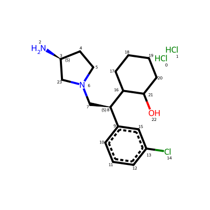 Cl.Cl.N[C@H]1CCN(C[C@H](c2cccc(Cl)c2)C2CCCCC2O)C1